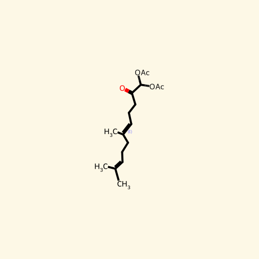 CC(=O)OC(OC(C)=O)C(=O)CC/C=C(\C)CCC=C(C)C